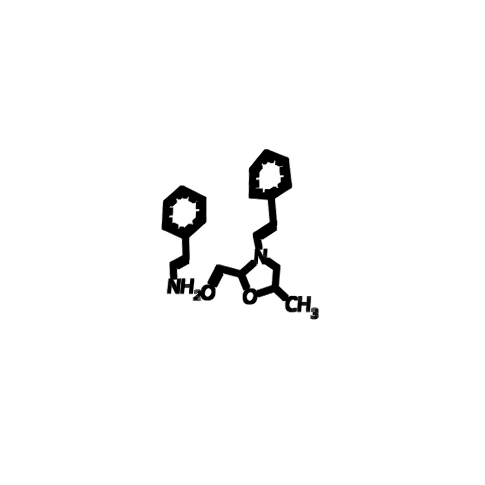 CC1CN(C=Cc2ccccc2)C(C=O)O1.NC=Cc1ccccc1